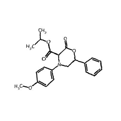 COc1ccc(N2CC(c3ccccc3)OC(=O)C2C(=O)OC(C)C)cc1